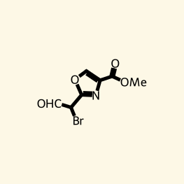 COC(=O)c1coc(C(Br)C=O)n1